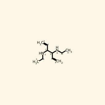 C=CC(NCC)C(C=C)NCC